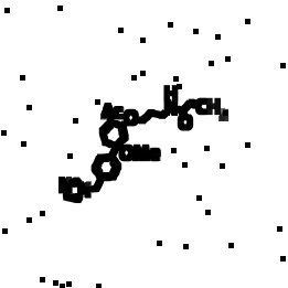 C=CC(=O)NCCCOC1=CC(OC)(c2ccc(Cn3ccnc3)cc2)CC=C1C(C)=O